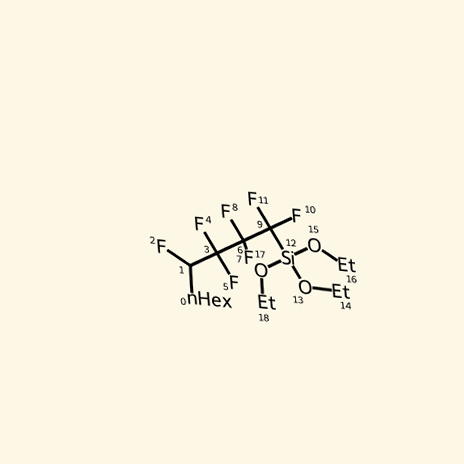 CCCCCCC(F)C(F)(F)C(F)(F)C(F)(F)[Si](OCC)(OCC)OCC